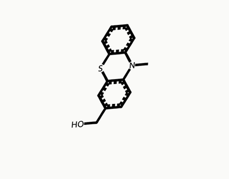 CN1c2ccccc2Sc2cc(CO)ccc21